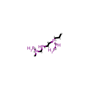 CCCP(CCPCP(C)P)PP